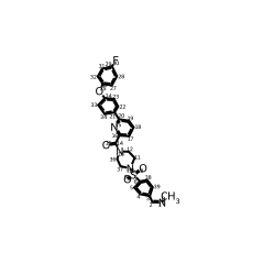 C/N=C\c1ccc(S(=O)(=O)N2CCN(C(=O)c3cccc(-c4ccc(Oc5ccc(F)cc5)cc4)n3)CC2)cc1